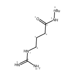 CCCCNC(=O)CCCNC(=N)N